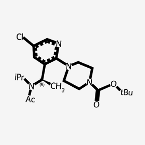 CC(=O)N(C(C)C)[C@H](C)c1cc(Cl)cnc1N1CCN(C(=O)OC(C)(C)C)CC1